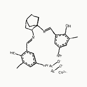 CC(=O)[O-].CC(=O)[O-].CCCc1cc(C)c(O)c(C=NC2CC3CCC2(N=Cc2cc(CCC)cc(C)c2O)C3)c1.[Co+2]